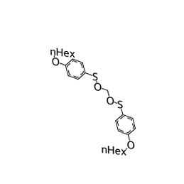 CCCCCCOc1ccc(SOCOSc2ccc(OCCCCCC)cc2)cc1